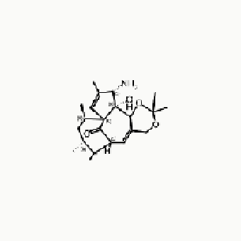 CC1=C[C@]23C(=O)[C@@H](C=C4COC(C)(C)OC4[C@]2(O)[C@H]1N)C(C)(C)[C@H](C)C[C@H]3C